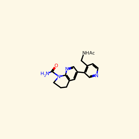 CC(=O)NCc1ccncc1-c1cnc2c(c1)CCCN2C(N)=O